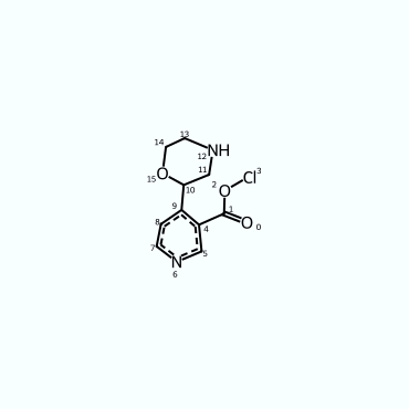 O=C(OCl)c1cnccc1C1CNCCO1